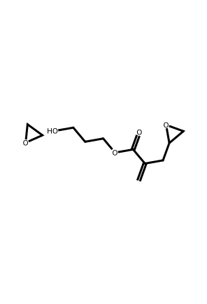 C1CO1.C=C(CC1CO1)C(=O)OCCCO